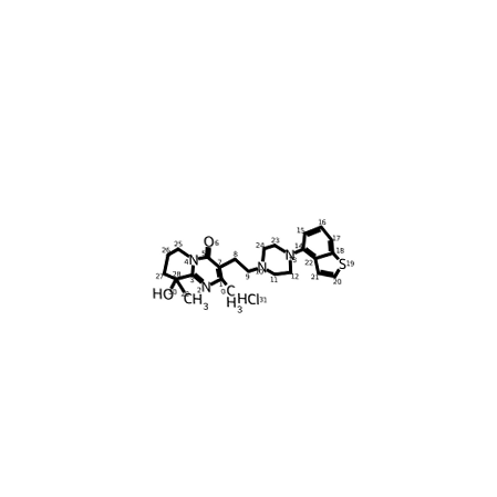 Cc1nc2n(c(=O)c1CCN1CCN(c3cccc4sccc34)CC1)CCCC2(C)O.Cl